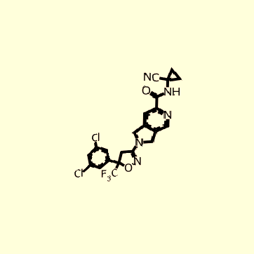 N#CC1(NC(=O)c2cc3c(cn2)CN(C2=NOC(c4cc(Cl)cc(Cl)c4)(C(F)(F)F)C2)C3)CC1